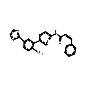 Cc1ccc(-c2ncco2)cc1-c1ccc(NC(=O)/C=C\c2ccccc2)cc1